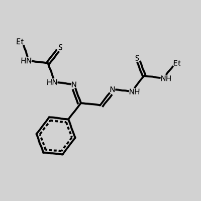 CCNC(=S)N/N=C/C(=N/NC(=S)NCC)c1ccccc1